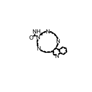 NC(=O)n1ccncccncc2c(cccncc1)cnc1ccccc12